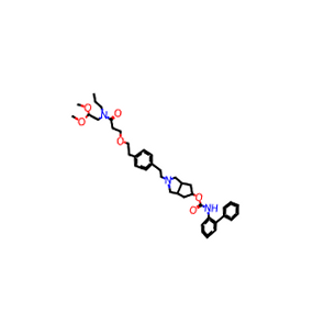 CCCN(CC(OC)OC)C(=O)CCOCCc1ccc(CCN2CC3CC(OC(=O)Nc4ccccc4-c4ccccc4)CC3C2)cc1